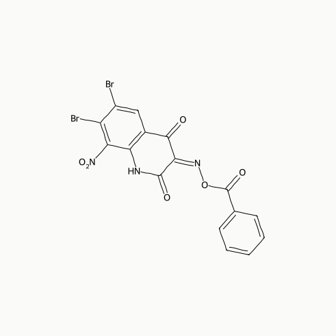 O=C1Nc2c(cc(Br)c(Br)c2[N+](=O)[O-])C(=O)C1=NOC(=O)c1ccccc1